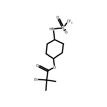 CCC(C)(C)C(=O)OC1CCC(NS(=O)(=O)C(F)(F)F)CC1